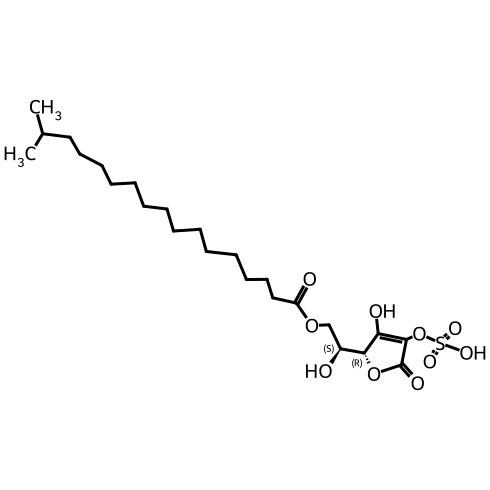 CC(C)CCCCCCCCCCCCCCC(=O)OC[C@H](O)[C@H]1OC(=O)C(OS(=O)(=O)O)=C1O